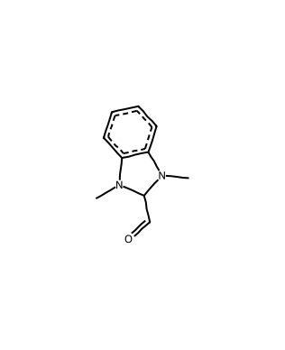 CN1c2ccccc2N(C)C1C=O